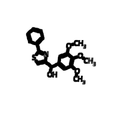 COc1cc(C(O)c2csc(-c3ccccc3)n2)cc(OC)c1OC